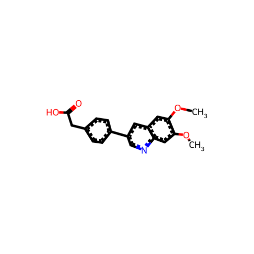 COc1cc2cc(-c3ccc(CC(=O)O)cc3)cnc2cc1OC